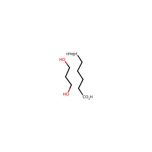 CCCCCCCCCCCC(=O)O.OCCCO